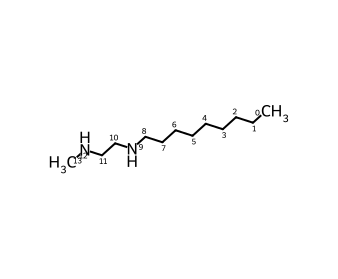 CCCCCCCCCNCCNC